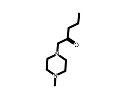 CCCC(=O)CN1CCN(C)CC1